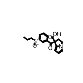 CCC[S+]([O-])c1cccc(C(=O)C2(C(=O)O)CCn3cccc32)c1